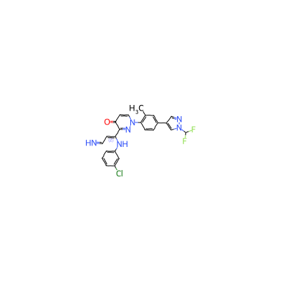 Cc1cc(-c2cnn(C(F)F)c2)ccc1-n1ccc(=O)c(/C(=C/C=N)Nc2cccc(Cl)c2)n1